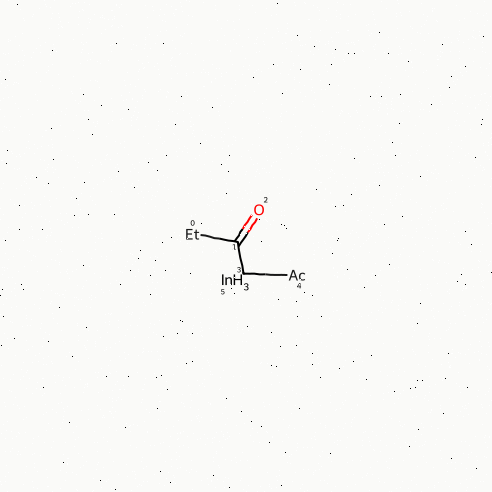 CCC(=O)CC(C)=O.[InH3]